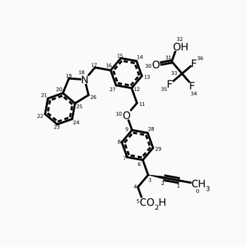 CC#C[C@@H](CC(=O)O)c1ccc(OCc2cccc(CN3Cc4ccccc4C3)c2)cc1.O=C(O)C(F)(F)F